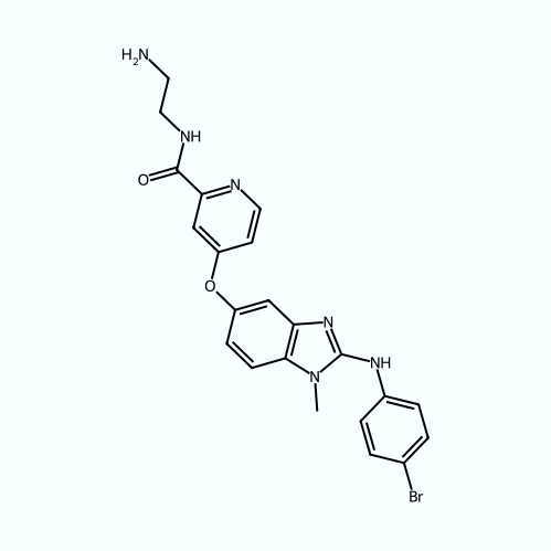 Cn1c(Nc2ccc(Br)cc2)nc2cc(Oc3ccnc(C(=O)NCCN)c3)ccc21